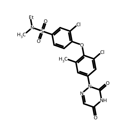 CCN(C)S(=O)(=O)c1ccc(Oc2c(C)cc(-n3ncc(=O)[nH]c3=O)cc2Cl)c(Cl)c1